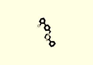 Clc1ccccc1-c1ccc(CN2CCSC(c3ccccc3)C2)cc1